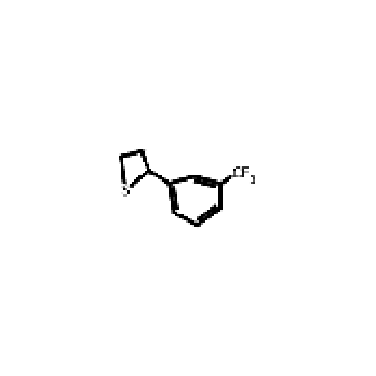 FC(F)(F)c1cccc(C2[CH]CS2)c1